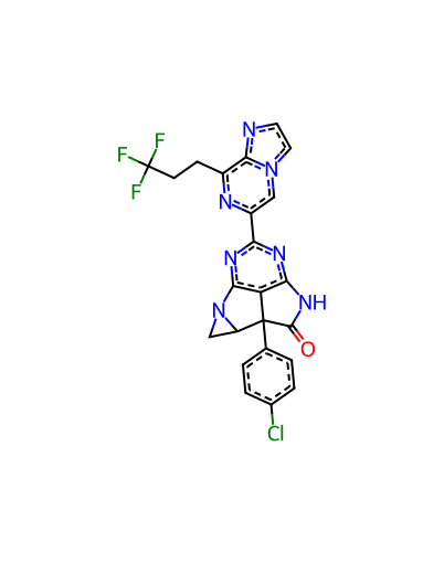 O=C1Nc2nc(-c3cn4ccnc4c(CCC(F)(F)F)n3)nc3c2C1(c1ccc(Cl)cc1)C1CN31